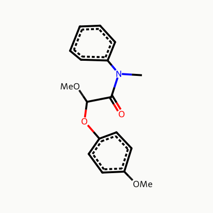 COc1ccc(OC(OC)C(=O)N(C)c2ccccc2)cc1